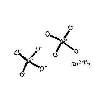 [O-][I+3]([O-])([O-])[O-].[O-][I+3]([O-])([O-])[O-].[SnH2+2]